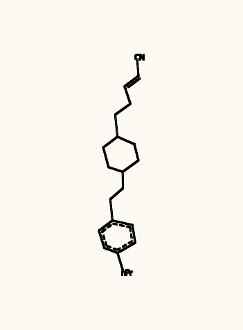 CCCc1ccc(CCC2CCC(CCC=CC#N)CC2)cc1